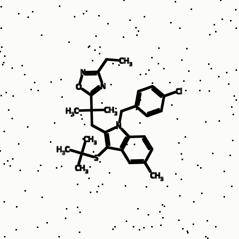 CCc1noc(C(C)(C)Cc2c(SC(C)(C)C)c3cc(C)ccc3n2Cc2ccc(Cl)cc2)n1